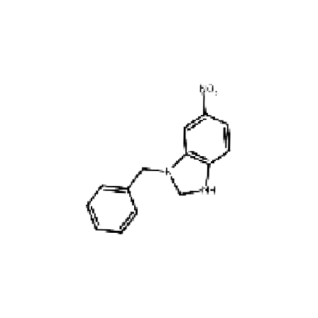 O=[N+]([O-])c1ccc2c(c1)N(Cc1ccccc1)CN2